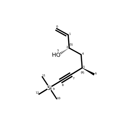 C=C[C@@H](O)C[C@@H](C)C#C[Si](C)(C)C